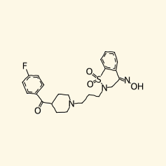 O=C(c1ccc(F)cc1)C1CCN(CCCN2C/C(=N\O)c3ccccc3S2(=O)=O)CC1